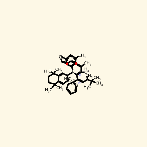 C/C=C\C=C=C(C)/C(C)=C(/C(=C\C(C)C(C)(C)C)[C@@]1(C)C=CC=CC1)N(c1cc(C)cc(Cl)c1)C1C=C2C(=C[C@H]1C)C(C)(C)CCC2(C)C